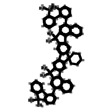 Cc1cccc(-c2cc3c(c4ccccc24)-c2cc4c(cc2C3(C)C)-c2cc3c(cc2C42CCCCC2)-c2c(cc(-c4cccc5c4-c4ccccc4[Si]5(C)C)c4ccccc24)C3(C)C)c1-c1ccccc1[SiH](C)C